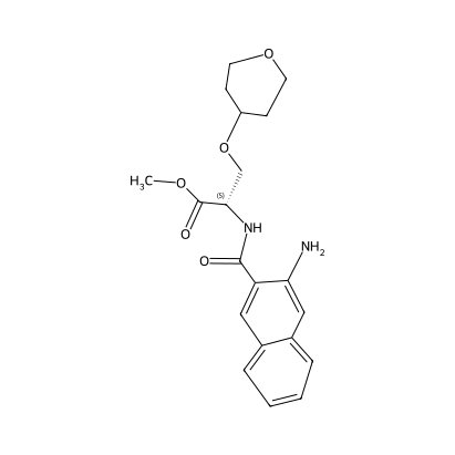 COC(=O)[C@H](COC1CCOCC1)NC(=O)c1cc2ccccc2cc1N